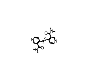 CN(C)C(=O)c1cnccc1SSc1ccncc1C(=O)N(C)C